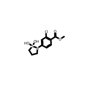 COC(=O)c1ccc(N2CCCS2(O)O)cc1Cl